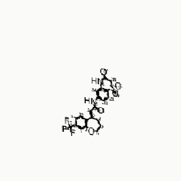 O=C(/C=C1\CCCOc2cc(C(F)(F)F)ccc21)Nc1ccc2c(c1)NC(=O)CS2(=O)=O